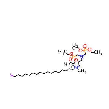 CCOP(=O)(CN(CCC[N+](C)(C)CCCCCCCCCCCCCCCCCI)CP(=O)(OCC)OCC)OCC